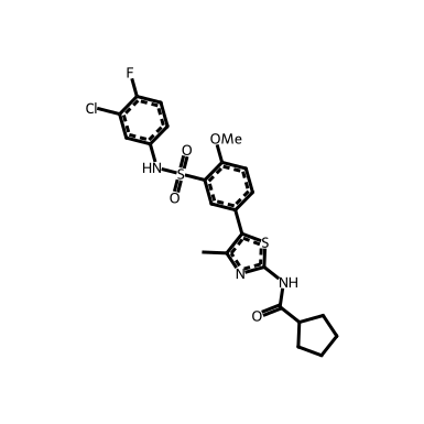 COc1ccc(-c2sc(NC(=O)C3CCCC3)nc2C)cc1S(=O)(=O)Nc1ccc(F)c(Cl)c1